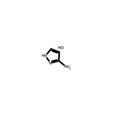 Cl.Nc1cc[nH]n1